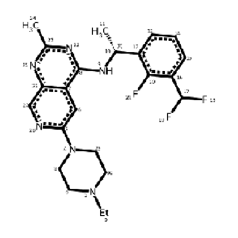 CCN1CCN(c2cc3c(N[C@H](C)c4cccc(C(F)F)c4F)nc(C)nc3cn2)CC1